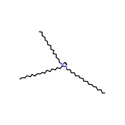 CCCCCCCCCCCCCCCCCCN1C=CN(CCCCCCCCCCCCCCC)C1CCCCCCCCCCCCCCCCC